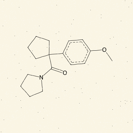 COc1ccc(C2(C(=O)N3CCCC3)CCCC2)cc1